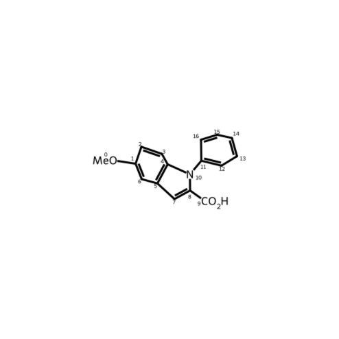 COc1ccc2c(c1)cc(C(=O)O)n2-c1ccccc1